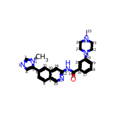 Cn1cncc1-c1ccc2cnc(NC(=O)c3cccc(N4CCN(I)CC4)c3)cc2c1